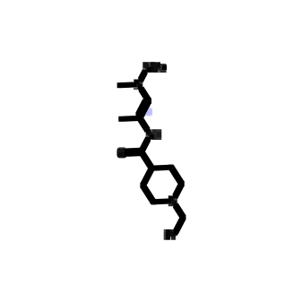 CNN(C)/C=C(\C)NC(=O)C1CCN(CC(C)C)CC1